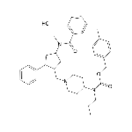 CCCN(C(=O)OCc1ccc(C)cc1)C1CCN(CC2CC(N(C)C(=O)c3ccccc3)CC2c2ccccc2)CC1.Cl